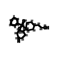 O=S(=O)(c1ccccc1)[N+]1(C2CCNCC2)CCC(CCO)CC1